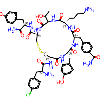 CC(O)C1NC(=O)[C@H](CCCCN)NC(=O)[C@@H](Cc2ccc(C(N)=O)cc2)NC(=O)[C@H](Cc2ccc(O)cc2)NC(=O)[C@H](NC(=O)[C@@H](N)Cc2ccc(Cl)cc2)CSSC[C@@H](C(=O)N[C@H](Cc2ccc(O)cc2)C(N)=O)NC1=O